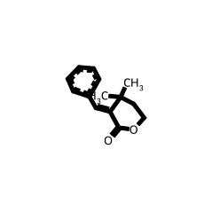 CC1(C)CCOC(=O)/C1=C/c1ccccc1